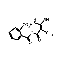 CC(C(=O)OC(=O)c1ccccc1C(=O)O)=C(S)S